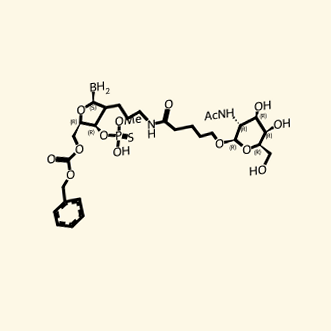 B[C@@H]1O[C@H](COC(=O)OCc2ccccc2)[C@H](OP(O)(=S)OC)C1CCCNC(=O)CCCCO[C@@H]1O[C@H](CO)[C@H](O)[C@H](O)[C@H]1NC(C)=O